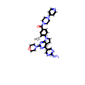 Cc1cc(C(=O)N2CCN(c3ccncc3)CC2)ccc1N1CCc2c(-c3cnc(N)nc3)nc(N3CCOCC3)nc21